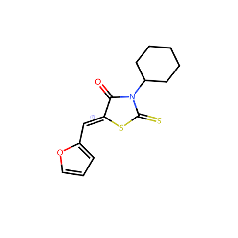 O=C1/C(=C/c2ccco2)SC(=S)N1C1CCCCC1